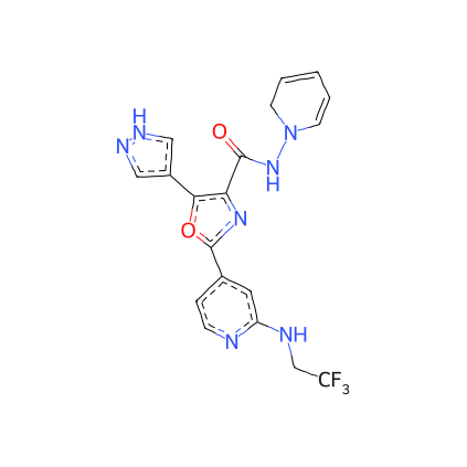 O=C(NN1C=CC=CC1)c1nc(-c2ccnc(NCC(F)(F)F)c2)oc1-c1cn[nH]c1